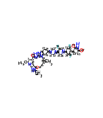 Cc1cc2cc(n1)-c1cnn(C)c1OCCC[C@@H](C)CN1/C(=N/C2=O)Nc2ccc(N3CCN([C@@H]4CCN(c5cc(F)c([C@H]6CCC(=O)NC6=O)c(F)c5)C[C@@H]4F)CC3)cc21